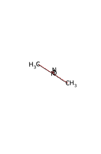 CCCCCCCCCCCCCCCCCCCCN(CCCCCCCCCCCCCCCCCCCC)C(=O)CC#N